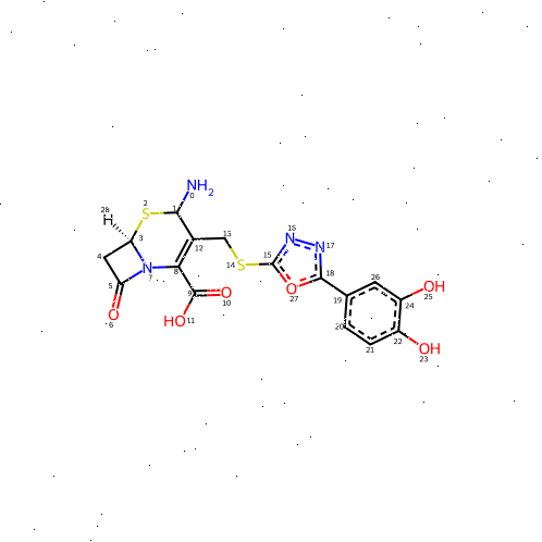 NC1S[C@@H]2CC(=O)N2C(C(=O)O)=C1CSc1nnc(-c2ccc(O)c(O)c2)o1